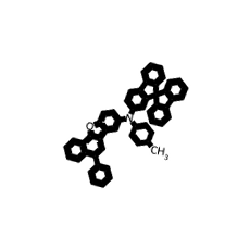 CC1C=CC(N(c2ccc3c(c2)C2(c4ccccc4-c4ccccc42)c2ccccc2-3)c2ccc3oc4c5ccccc5c(-c5ccccc5)cc4c3c2)=CC1